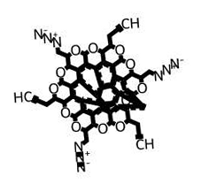 C#CCC1OC2OC3c4c5c6c7c8c9c%10c%11c%12c%13c%14c%15c%16c%17c%18c(c2c4c2c%18c%15c%12c9c62)C1OC%17OC(CN=[N+]=[N-])C%16OC%14OC(CC#C)C%13OC%11OC(CN=[N+]=[N-])C%10OC8OC(CC#C)C7OC5OC3CN=[N+]=[N-]